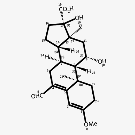 COC1=CC2=C(C=O)C[C@@H]3[C@H]([C@@H](O)C[C@@]4(C)[C@H]3CC[C@]4(O)C(=O)O)[C@@]2(C)CC1